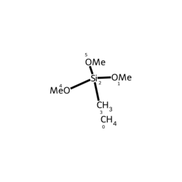 C.CO[Si](C)(OC)OC